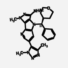 CC(=O)Nc1nn(C)c2c3ncc(-c4c(C)nnn4C)cc3n([C@H](c3ccccc3)C3CCOCC3)c12